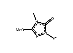 COc1nn(C(C)C)c(=O)n1C